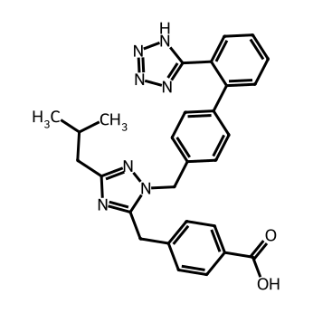 CC(C)Cc1nc(Cc2ccc(C(=O)O)cc2)n(Cc2ccc(-c3ccccc3-c3nnn[nH]3)cc2)n1